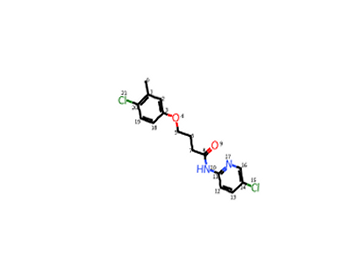 Cc1cc(OCCCC(=O)Nc2ccc(Cl)cn2)ccc1Cl